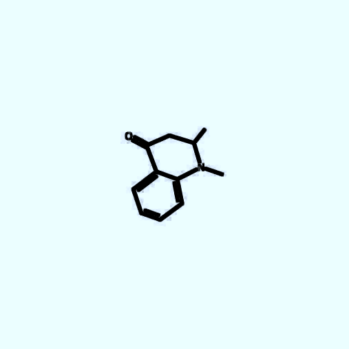 CC1CC(=O)c2ccccc2N1C